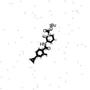 Cc1cc(C2CC2)ccc1C(=O)N[C@@H]1CCCN(C(=O)OC(C)(C)C)[C@@H]1C